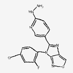 NNc1ccc(-c2nc3conc3n2-c2ccc(Cl)cc2F)cn1